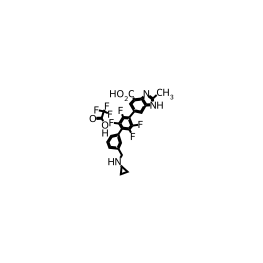 Cc1nc2c(C(=O)O)cc(-c3c(F)c(F)c(-c4cccc(CNC5CC5)c4)c(F)c3F)cc2[nH]1.O=C(O)C(F)(F)F